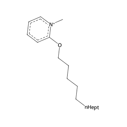 CCCCCCCCCCCCOc1cccc[n+]1C